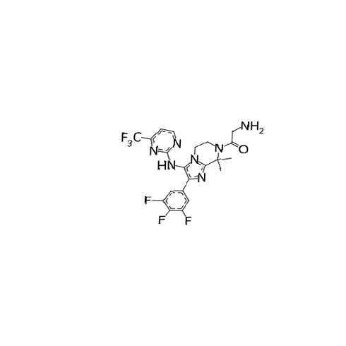 CC1(C)c2nc(-c3cc(F)c(F)c(F)c3)c(Nc3nccc(C(F)(F)F)n3)n2CCN1C(=O)CN